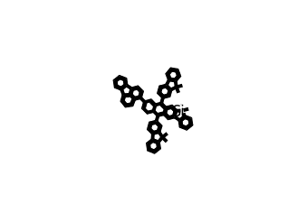 CC1(C)c2ccccc2-c2ccc(C3=c4cc5c(cc4=C(c4ccc6c(c4)C(C)(C)c4ccccc4-6)C4CC=C(c6ccc7c8c(cccc68)-c6ccccc6-7)C=C34)-c3ccccc3[Si]5(C)C)cc21